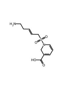 NCCC=CCS(=O)(=O)N1C=CC=C(C(=O)O)C1